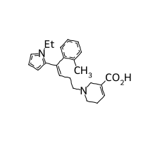 CCn1cccc1C(=CCCN1CCC=C(C(=O)O)C1)c1ccccc1C